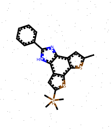 Cc1cc2c3nc(-c4ccccc4)[nH]c3c3cc([SH](C)(C)(C)C)sc3c2s1